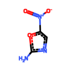 Nc1ncc([N+](=O)[O-])o1